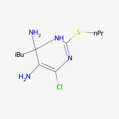 CCCSC1=NC(Cl)=C(N)C(N)(C(C)CC)N1